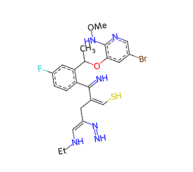 CCN/C=C(/C/C(=C/S)C(=N)c1ccc(F)cc1C(C)Oc1cc(Br)cnc1NOC)N=N